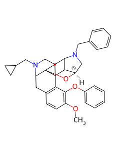 COc1ccc2c(c1Oc1ccccc1)C13CCN(CC4CC4)C(C2)C12CCC1C3[C@@H](CN1Cc1ccccc1)O2